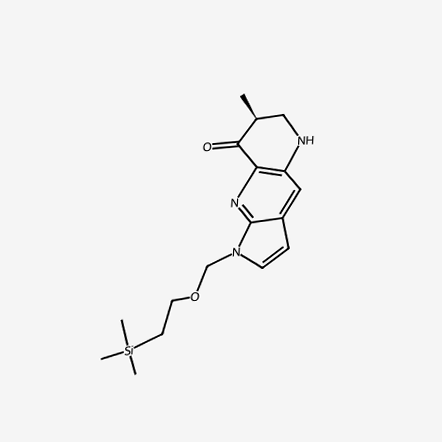 C[C@H]1CNc2cc3ccn(COCC[Si](C)(C)C)c3nc2C1=O